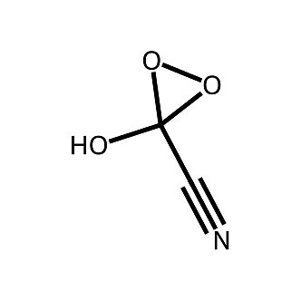 N#CC1(O)OO1